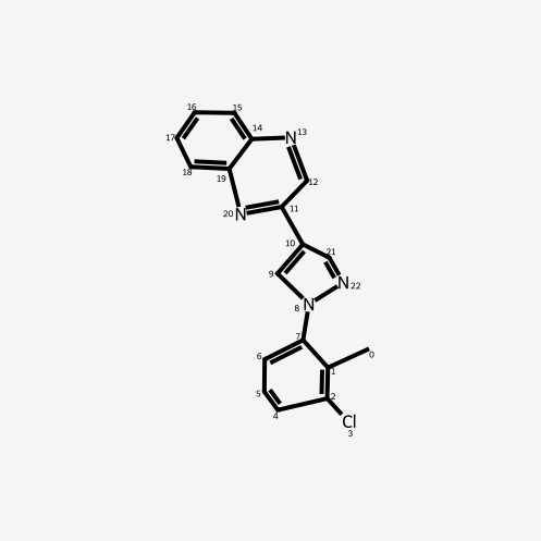 Cc1c(Cl)cccc1-n1cc(-c2cnc3ccccc3n2)cn1